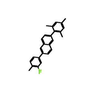 Cc1cc(C)c(-c2ccc3cc(-c4ccc(C)c(F)c4)ccc3c2)c(C)c1